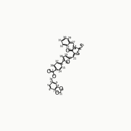 O=C(OCc1ccc2c(c1)OCO2)c1ccc(-c2ccc(/C=C3/SC(=S)N(Cc4ccccc4)C3=O)o2)cc1